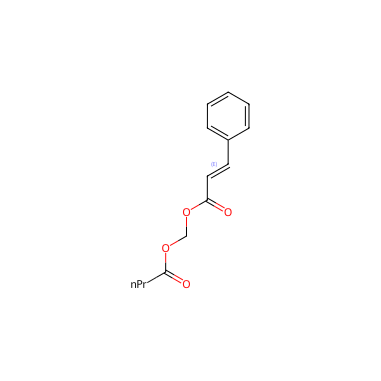 CCCC(=O)OCOC(=O)/C=C/c1ccccc1